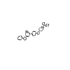 CCC(=O)N1CCC(Oc2ccc(-c3cncc(Oc4ccccc4)c3)cc2)CC1